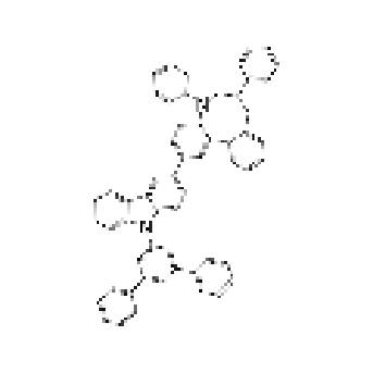 c1ccc(-c2cc(-c3ccccc3)cc(-n3c4ccccc4c4cc(-c5ccc6c(c5)-c5ccccc5CC(c5ccccc5)CN6c5ccccc5)ccc43)c2)cc1